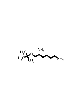 CC(C)(C)OCCCCCCN.N